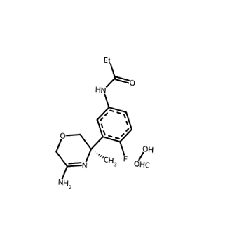 CCC(=O)Nc1ccc(F)c([C@]2(C)COCC(N)=N2)c1.O=CO